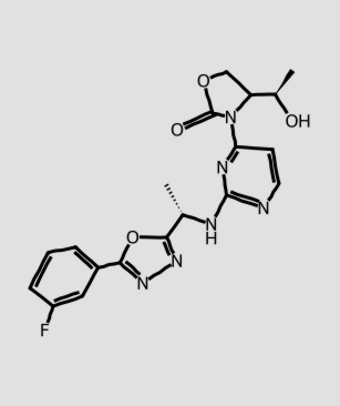 C[C@H](Nc1nccc(N2C(=O)OCC2[C@@H](C)O)n1)c1nnc(-c2cccc(F)c2)o1